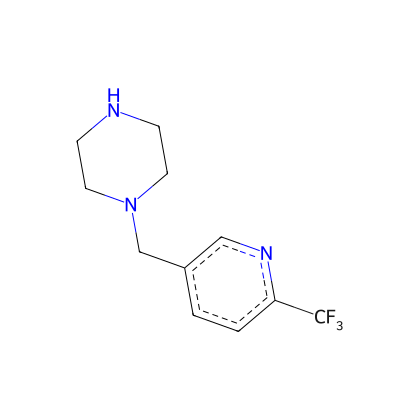 FC(F)(F)c1ccc(CN2CCNCC2)cn1